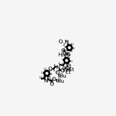 CC[Si](CC)(CC)OC(CN(CCOc1ccc2c(C)nn(C(=O)OC(C)(C)C)c2c1)C(=O)OC(C)(C)C)c1cccc(NS(=O)(=O)c2cccc([N+](=O)[O-])c2)c1